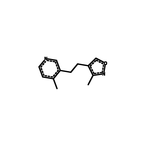 Cc1ccncc1CCc1conc1C